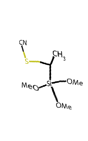 CO[Si](OC)(OC)C(C)SC#N